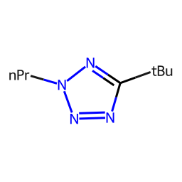 CCCn1nnc(C(C)(C)C)n1